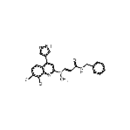 CN(C=CC(=O)NCc1ccccc1)c1cc(-c2cn[nH]c2)c2ccc(Cl)c(Cl)c2n1